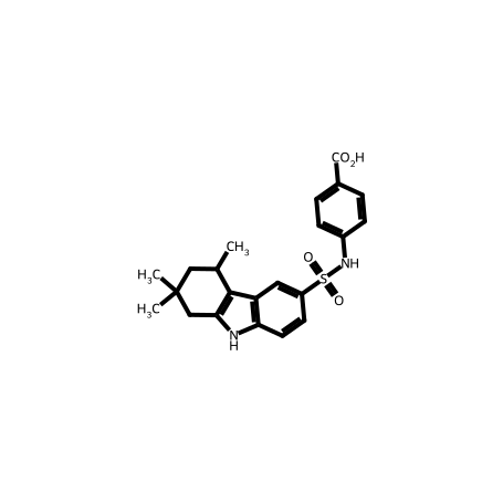 CC1CC(C)(C)Cc2[nH]c3ccc(S(=O)(=O)Nc4ccc(C(=O)O)cc4)cc3c21